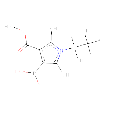 COC(=O)c1c(B(O)O)c(C)n([Si](C)(C)C(C)(C)C)c1C